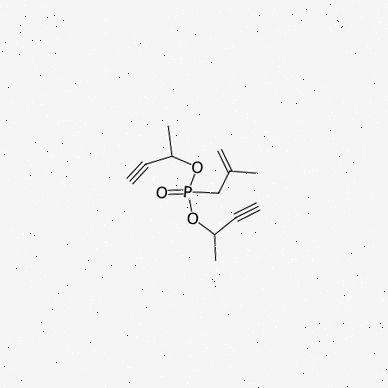 C#CC(C)OP(=O)(CC(=C)C)OC(C)C#C